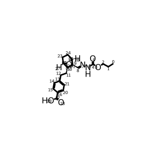 CCCOC(=O)NN=C[C@H]1[C@@H](CCc2ccc(C(=O)O)cc2)[C@H]2CC[C@@H]1O2